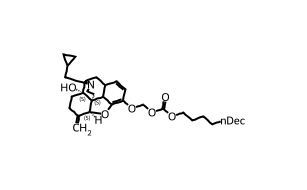 C=C1CC[C@@]2(O)C3CC4C=CC(OCOC(=O)OCCCCCCCCCCCCCC)=C5O[C@@H]1[C@]2(CCN3CC1CC1)C54